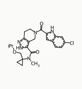 CC(C)OCC1(N(C)C(=O)c2[nH]nc3c2CN(C(=O)c2cc4ccc(Cl)cc4[nH]2)CC3)CC1